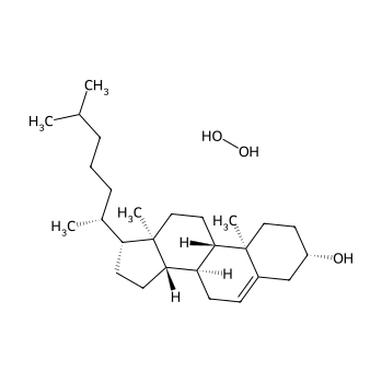 CC(C)CCC[C@@H](C)[C@H]1CC[C@H]2[C@@H]3CC=C4C[C@@H](O)CC[C@]4(C)[C@H]3CC[C@]12C.OO